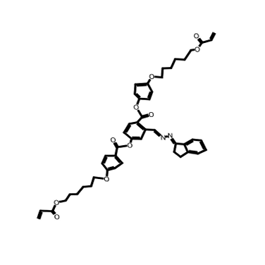 C=CC(=O)OCCCCCCOc1ccc(OC(=O)c2ccc(OC(=O)c3ccc(OCCCCCCOC(=O)C=C)cc3)cc2/C=N/N=C2\CCc3ccccc32)cc1